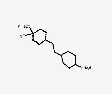 CCCCCCCC1CCC(CCC2CCC(C#N)(CCCCCCC)CC2)CC1